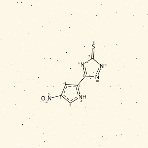 O=[N+]([O-])c1c[nH]c(C2=NC(=S)N=N2)c1